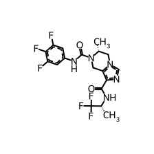 C[C@@H]1Cn2cnc(C(=O)N[C@H](C)C(F)(F)F)c2CN1C(=O)Nc1cc(F)c(F)c(F)c1